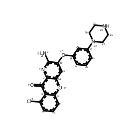 Nc1nc2c(=O)c3c(Cl)cccc3oc2cc1Oc1cccc(N2CCNCC2)c1